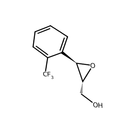 OC[C@H]1O[C@@H]1c1ccccc1C(F)(F)F